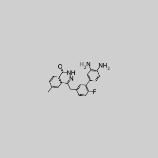 Cc1ccc2c(=O)[nH]nc(Cc3ccc(F)c(-c4ccc(N)c(N)c4)c3)c2c1